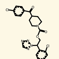 O=C(c1ccc(Cl)cc1)C1CCN(C(=O)OCC(c2ccccc2Cl)n2ncnn2)CC1